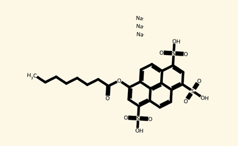 CCCCCCCC(=O)Oc1cc(S(=O)(=O)O)c2ccc3c(S(=O)(=O)O)cc(S(=O)(=O)O)c4ccc1c2c43.[Na].[Na].[Na]